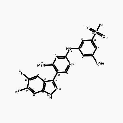 CNc1nc(Nc2cc(OC)cc(S(C)(=O)=O)c2)ncc1-c1n[nH]c2cc(F)c(F)cc12